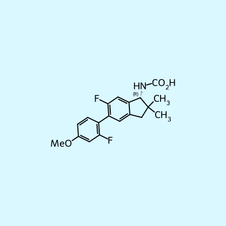 COc1ccc(-c2cc3c(cc2F)[C@H](NC(=O)O)C(C)(C)C3)c(F)c1